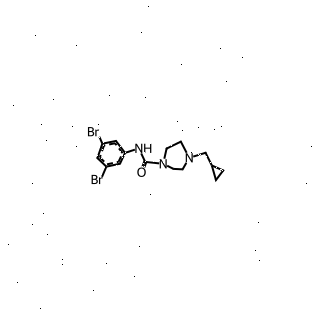 O=C(Nc1cc(Br)cc(Br)c1)N1CCN(CC2CC2)CC1